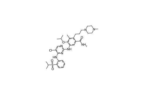 Cc1c(CCCN2CCN(C)CC2)c(C(N)=O)cc(Nc2ncc(Cl)c(Nc3ccccc3S(=O)(=O)C(C)C)n2)c1OC(C)C